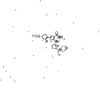 CC(C)(O)c1ccc(-c2cc(C(N)=O)c(Nc3cccc(C(CF)N4CCOCC4)n3)s2)c(F)c1